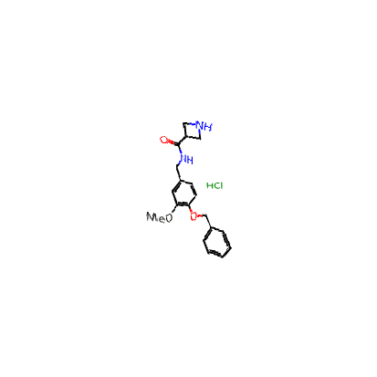 COc1cc(CNC(=O)C2CNC2)ccc1OCc1ccccc1.Cl